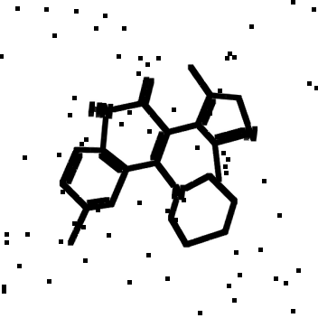 C=C1Nc2ccc(C)cc2C(N2CCCCC2)=C1C1=C(C)CN=C1C